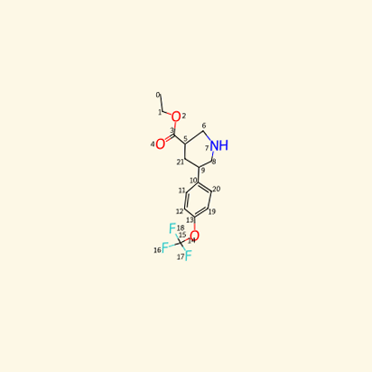 CCOC(=O)C1CNCC(c2ccc(OC(F)(F)F)cc2)C1